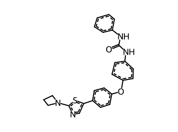 O=C(Nc1ccccc1)Nc1ccc(Oc2ccc(-c3cnc(N4CCC4)s3)cc2)cc1